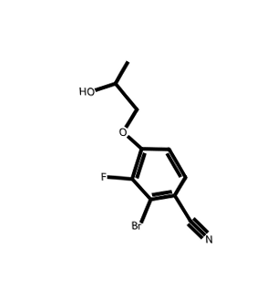 CC(O)COc1ccc(C#N)c(Br)c1F